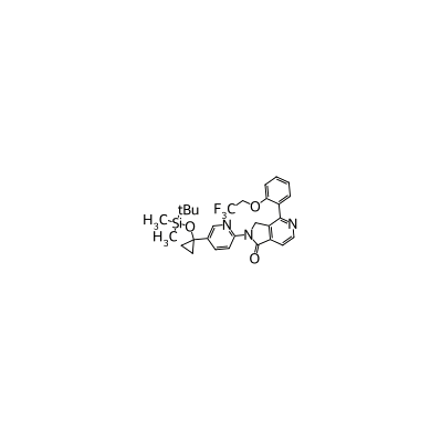 CC(C)(C)[Si](C)(C)OC1(c2ccc(N3Cc4c(ccnc4-c4ccccc4OCC(F)(F)F)C3=O)nc2)CC1